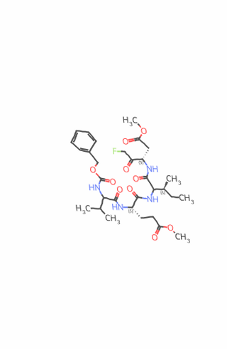 CC[C@H](C)C(NC(=O)[C@H](CCC(=O)OC)NC(=O)C(NC(=O)OCc1ccccc1)C(C)C)C(=O)N[C@@H](CC(=O)OC)C(=O)CF